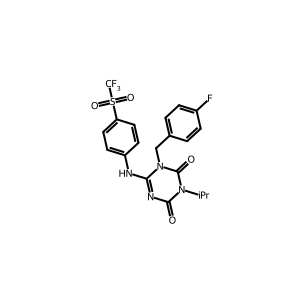 CC(C)n1c(=O)nc(Nc2ccc(S(=O)(=O)C(F)(F)F)cc2)n(Cc2ccc(F)cc2)c1=O